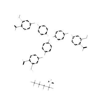 CCc1cc(Sc2ccc([S+](c3ccc(Sc4ccc(C(C)=O)c(CC)c4)cc3)c3ccc(Sc4ccc(C(C)=O)c(CC)c4)cc3)cc2)ccc1C(C)=O.O=S(=O)([O-])C(F)(F)C(F)(F)C(F)(F)C(F)(F)F